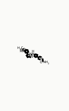 CS(=O)(=O)Nc1cccc(-c2ccc3cnc(Nc4ccc(C5CCN(CC(N)=O)CC5)cc4)nn23)c1